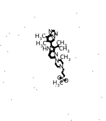 Cc1c(-c2[nH]c3ccc(N4CCN(CCCS(C)(=O)=O)C[C@@H]4C)nc3c2C(C)C)cn2ncnc2c1C